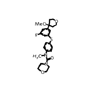 COC1(c2cc(F)cc(Sc3ccc(N(C)C(=O)N4CCOCC4)cc3)c2)CCOCC1